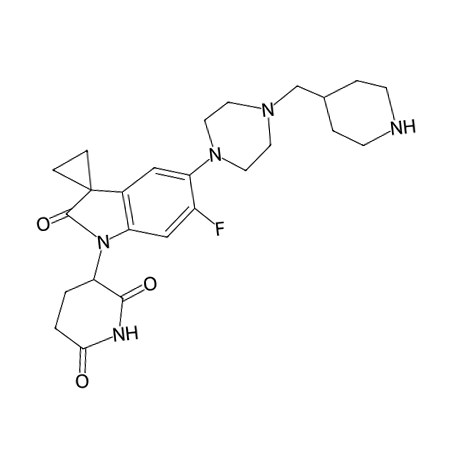 O=C1CCC(N2C(=O)C3(CC3)c3cc(N4CCN(CC5CCNCC5)CC4)c(F)cc32)C(=O)N1